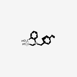 C=Cc1ccc(CN(CC(=O)O)c2ccccc2C(=O)O)cc1